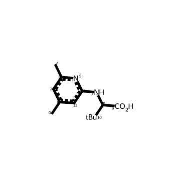 Cc1cc(C)nc(NC(C(=O)O)C(C)(C)C)c1